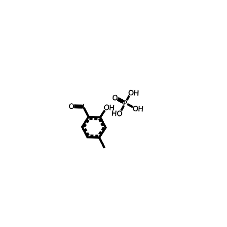 Cc1ccc(I=O)c(O)c1.O=P(O)(O)O